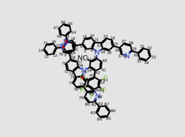 N#Cc1c(-n2c3cc(-c4ccc(-c5ccccc5)nc4)ccc3c3ccc(-c4ccc(-c5ccccc5)nc4)cc32)ccc(-c2c(F)c(F)c(F)c(F)c2F)c1-n1c2cc(-c3ccc(-c4ccccc4)nc3)ccc2c2ccc(-c3ccc(-c4ccccc4)nc3)cc21